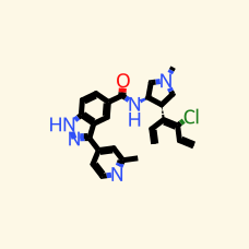 C=C/C(Cl)=C(\C=C)[C@H]1CN(C)C[C@@H]1NC(=O)c1ccc2[nH]nc(-c3ccnc(C)c3)c2c1